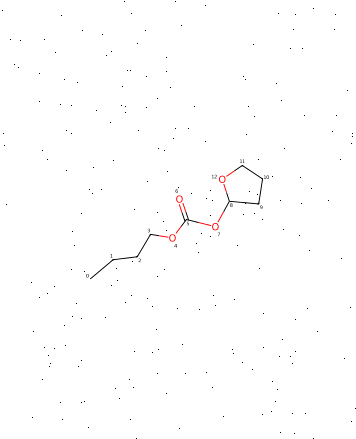 CCCCOC(=O)OC1CCCO1